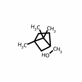 CC12CCC(C1)C2(C)C.CO